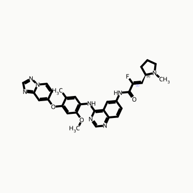 COc1cc(Oc2ccn3ncnc3c2)c(C)cc1Nc1ncnc2ccc(NC(=O)/C(F)=C/[C@H]3CCCN3C)cc12